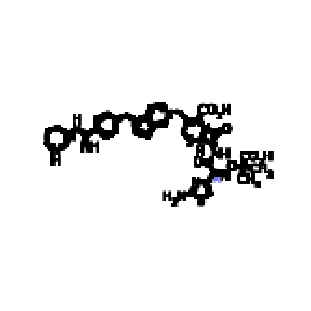 CC(C)(O/N=C(\C(=O)N[C@@H]1C(=O)N2C(C(=O)O)=C(C[n+]3ccc4c(ccn4Cc4ccc(C(=N)N[C@@H]5CCCNC5)cc4)c3)CS[C@H]12)c1csc(N)n1)C(=O)O